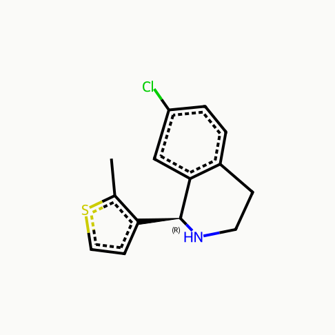 Cc1sccc1[C@@H]1NCCc2ccc(Cl)cc21